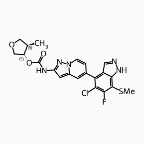 CSc1c(F)c(Cl)c(-c2ccn3nc(NC(=O)O[C@@H]4COC[C@H]4C)cc3c2)c2cn[nH]c12